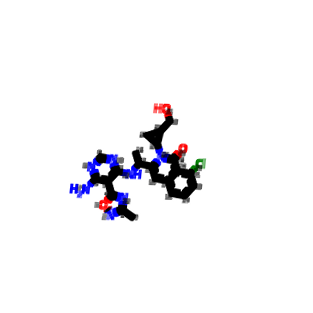 Cc1noc(-c2c(N)ncnc2NC(C)c2cc3cccc(Cl)c3c(=O)n2C2CC2CO)n1